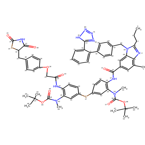 CCCc1nc2c(C)cc(C(=O)Nc3ccc(Sc4ccc(NC(=O)COc5ccc(CC6SC(=O)NC6=O)cc5)c(N(C)C(=O)OC(C)(C)C)c4)cc3N(C)C(=O)OC(C)(C)C)cc2n1Cc1ccc(-c2ccccc2-c2nnn[nH]2)cc1